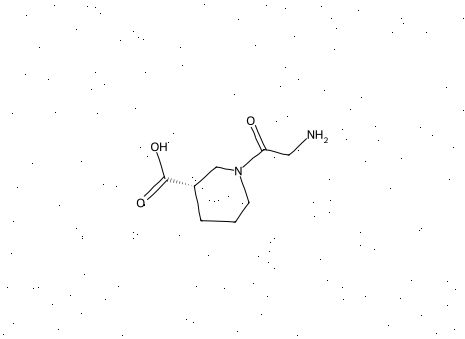 NCC(=O)N1CCC[C@H](C(=O)O)C1